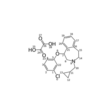 Clc1cccc(OC2CN(CC3CC3)CCc3ccccc32)c1.O=C(O)C(=O)O